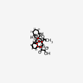 CC(=O)C(=O)N(c1ccccc1NC(=O)C(=O)O)[C@H]1C[C@H]2CCC[C@@H](C1)N2[C@H]1C[C@@H]2CCC[C@@H](C2)C1